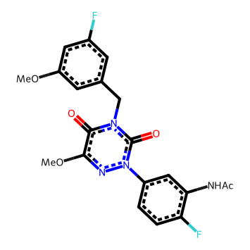 COc1cc(F)cc(Cn2c(=O)c(OC)nn(-c3ccc(F)c(NC(C)=O)c3)c2=O)c1